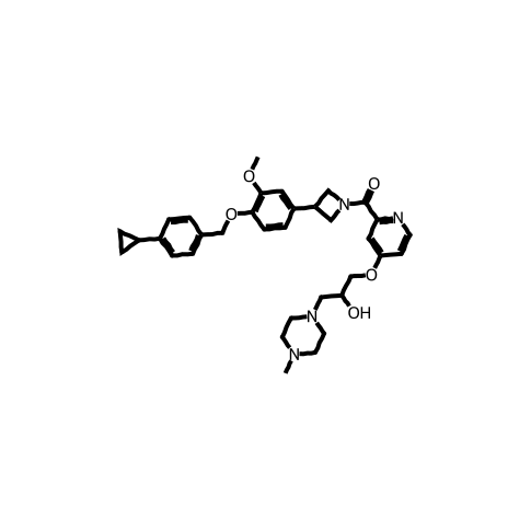 COc1cc(C2CN(C(=O)c3cc(OCC(O)CN4CCN(C)CC4)ccn3)C2)ccc1OCc1ccc(C2CC2)cc1